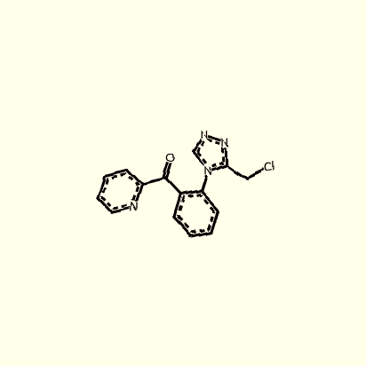 O=C(c1ccccn1)c1ccccc1-n1cnnc1CCl